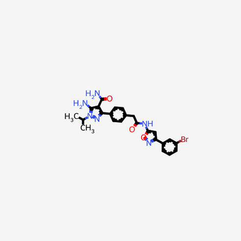 CC(C)n1nc(-c2ccc(CC(=O)Nc3cc(-c4cccc(Br)c4)no3)cc2)c(C(N)=O)c1N